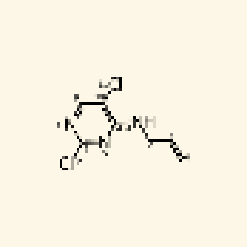 C=CCNc1nc(Cl)ncc1Cl